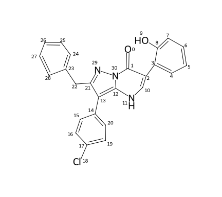 O=c1c(-c2ccccc2O)c[nH]c2c(-c3ccc(Cl)cc3)c(Cc3ccccc3)nn12